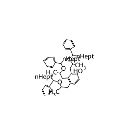 CCCCCCCC(OC(C)Cc1ccc(O)c(CC(C)OC(CCCCCCC)c2ccccc2)c1CC(C)OC(CCCCCCC)c1ccccc1)c1ccccc1